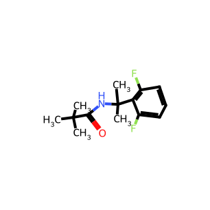 CC(C)(C)C(=O)NC(C)(C)c1c(F)cccc1F